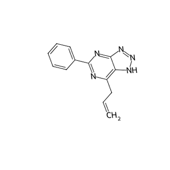 C=CCc1nc(-c2ccccc2)nc2nn[nH]c12